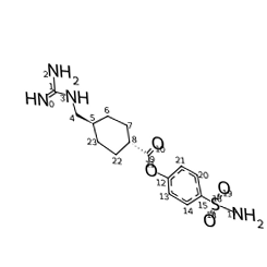 N=C(N)NC[C@H]1CC[C@H](C(=O)Oc2ccc(S(N)(=O)=O)cc2)CC1